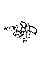 CC(=O)OOC(=O)C(c1ccccc1Nc1c(Cl)cccc1Cl)C(C)(Cl)Cl